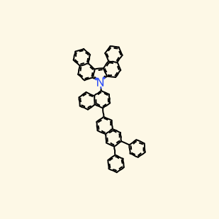 c1ccc(-c2cc3ccc(-c4ccc(-n5c6ccc7ccccc7c6c6c7ccccc7ccc65)c5ccccc45)cc3cc2-c2ccccc2)cc1